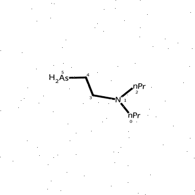 CCCN(CCC)CC[AsH2]